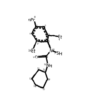 CCCc1cc(CC)c(N(S)C(=O)NC2CCCCC2)c(CC)c1